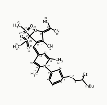 CCCCC(CC)COc1cccc(N2C(C)=CC(=CC3=C(C#N)C(=C(C#N)C#N)OC3(S(C)(=O)=O)S(C)(=O)=O)C=C2C)c1